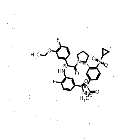 CCOc1cc([C@@H](Nc2cc(C(N)=O)ccc2F)C(=O)N2CCC[C@@H]2c2cc(NC(C)=O)ccc2S(=O)(=O)C2CC2)ccc1F